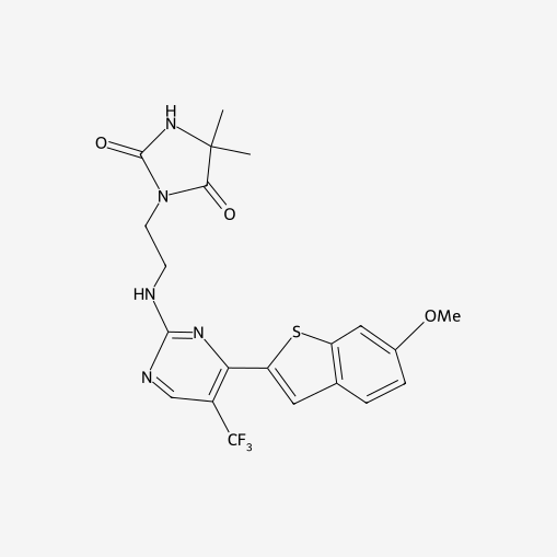 COc1ccc2cc(-c3nc(NCCN4C(=O)NC(C)(C)C4=O)ncc3C(F)(F)F)sc2c1